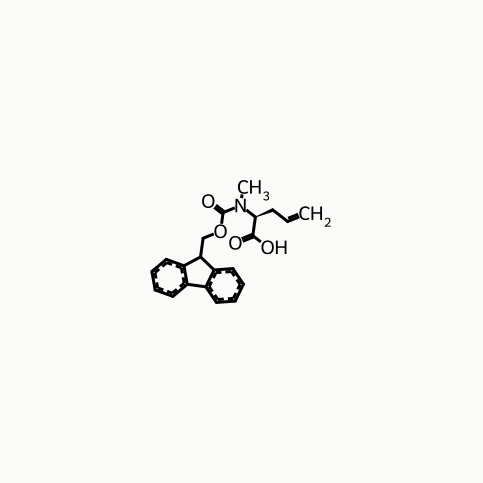 C=CC[C@@H](C(=O)O)N(C)C(=O)OCC1c2ccccc2-c2ccccc21